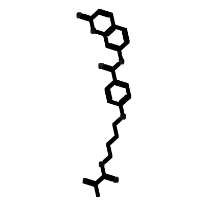 C=C(C)C(=O)OCCCCOc1ccc(C(=O)Oc2ccc3ccc(=O)oc3c2)cc1